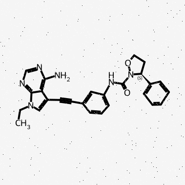 CCn1cc(C#Cc2cccc(NC(=O)N3OCC[C@H]3c3ccccc3)c2)c2c(N)ncnc21